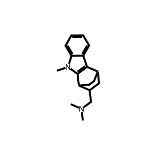 CN(C)CC1CC2CCC1c1c2c2ccccc2n1C